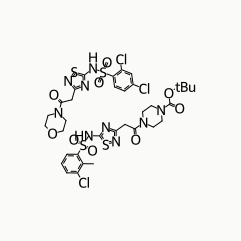 Cc1c(Cl)cccc1S(=O)(=O)Nc1nc(CC(=O)N2CCN(C(=O)OC(C)(C)C)CC2)ns1.O=C(Cc1nsc(NS(=O)(=O)c2ccc(Cl)cc2Cl)n1)N1CCOCC1